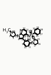 CN1CC[C@H](n2cc(-c3cccc(N4CCCC4)c3)c3c(NS(=O)(=O)c4ccccc4)ccnc32)C1